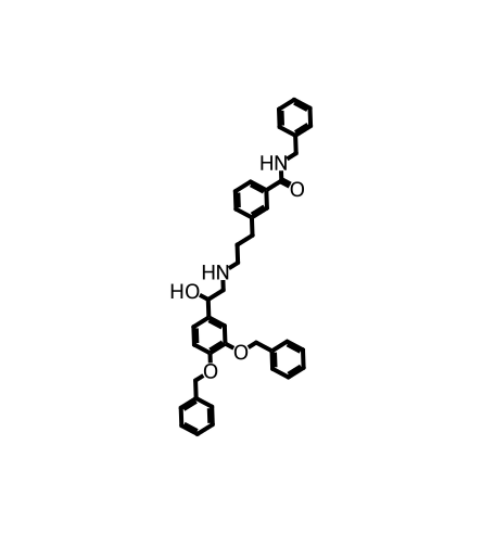 O=C(NCc1ccccc1)c1cccc(CCCNCC(O)c2ccc(OCc3ccccc3)c(OCc3ccccc3)c2)c1